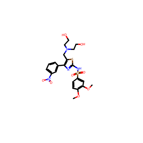 COc1ccc(S(=O)(=O)Nc2nc(-c3cccc([N+](=O)[O-])c3)c(CN(CCO)CCO)s2)cc1OC